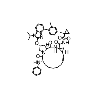 Cc1ccccc1-c1cccc2c1nc(O[C@@H]1C[C@H]3C(=O)N[C@]4(C(=O)NS(=O)(=O)C5(C)CC5)C[C@H]4/C=C\CCCCC[C@H](Nc4ccccc4)C(=O)N3C1)n2C(C)C